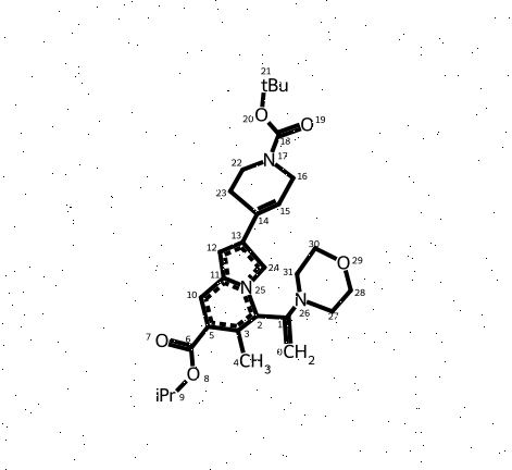 C=C(c1c(C)c(C(=O)OC(C)C)cc2cc(C3=CCN(C(=O)OC(C)(C)C)CC3)cn12)N1CCOCC1